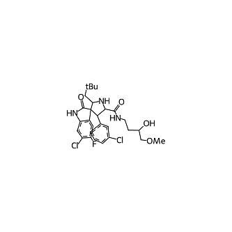 COCC(O)CCNC(=O)C1NC(CC(C)(C)C)C2(C(=O)Nc3cc(Cl)c(F)cc32)C1c1cccc(Cl)c1